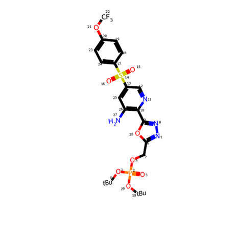 CC(C)(C)OP(=O)(OCc1nnc(-c2ncc(S(=O)(=O)c3ccc(OC(F)(F)F)cc3)cc2N)o1)OC(C)(C)C